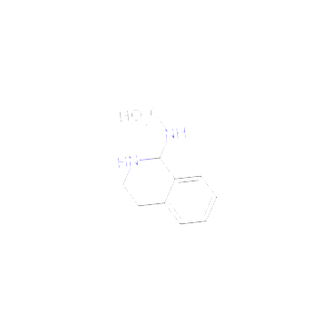 O=C(O)NC1NCCc2ccccc21